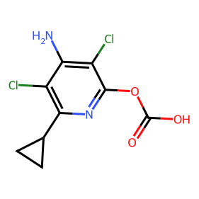 Nc1c(Cl)c(OC(=O)O)nc(C2CC2)c1Cl